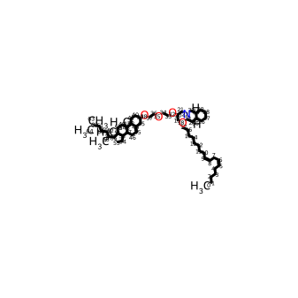 CCCCC/C=C\C/C=C\CCCCCCCCOCC(CN1CC[C@@H]2CCCC[C@H]2C1)OCCOCCO[C@H]1CC[C@@]2(C)C(=CCC3C2CC[C@@]2(C)C3CC[C@@H]2[C@H](C)CCCC(C)C)C1